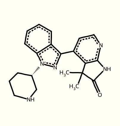 CC1(C)C(=O)Nc2nccc(-c3nn([C@H]4CCCNC4)c4ccccc34)c21